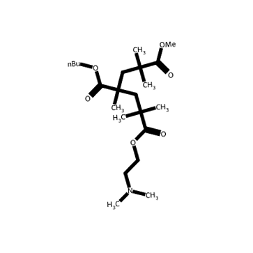 CCCCOC(=O)C(C)(CC(C)(C)C(=O)OC)CC(C)(C)C(=O)OCCN(C)C